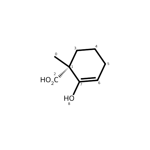 C[C@@]1(C(=O)O)CCCC=C1O